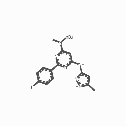 CCCCN(C)c1cc(Nc2cc(C)[nH]n2)nc(-c2ccc(F)cc2)n1